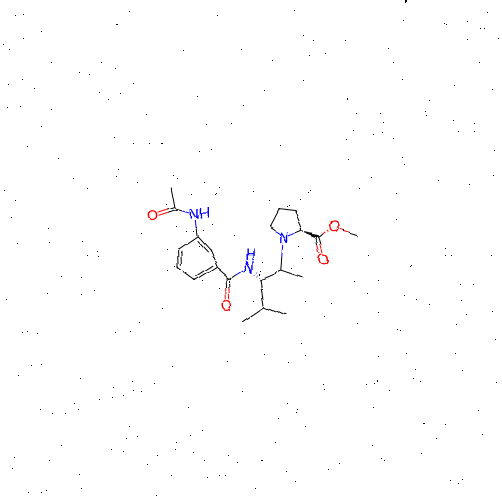 COC(=O)[C@@H]1CCCN1C(C)[C@@H](NC(=O)c1cccc(NC(C)=O)c1)C(C)C